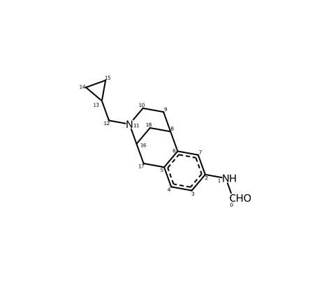 O=CNc1ccc2c(c1)C1CCN(CC3CC3)C(C2)C1